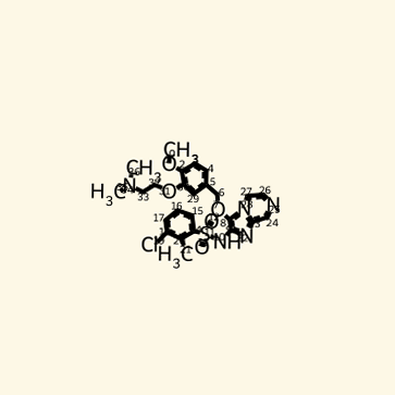 COc1ccc(COc2c(NS(=O)(=O)c3cccc(Cl)c3C)nc3cnccn23)cc1OCCN(C)C